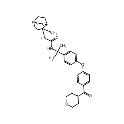 CC(C)(NC(=O)NC1(C)CCN2CCC1CC2)c1ccc(Oc2ccc(C(=O)N3CCOCC3)cc2)cc1